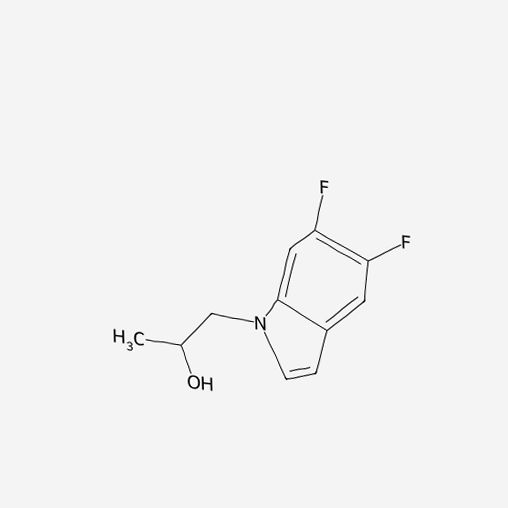 CC(O)Cn1ccc2cc(F)c(F)cc21